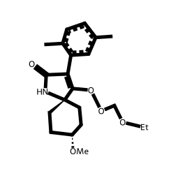 CCOCOOC1=C(c2cc(C)ccc2C)C(=O)N[C@]12CC[C@@H](OC)CC2